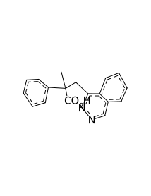 CC(Cc1nncc2ccccc12)(C(=O)O)c1ccccc1